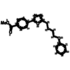 COC(=O)c1ccc(-c2nnc(CSCCOc3ccccc3)o2)cc1